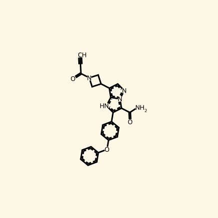 C#CC(=O)N1CC(c2cnn3c(C(N)=O)c(-c4ccc(Oc5ccccc5)cc4)[nH]c23)C1